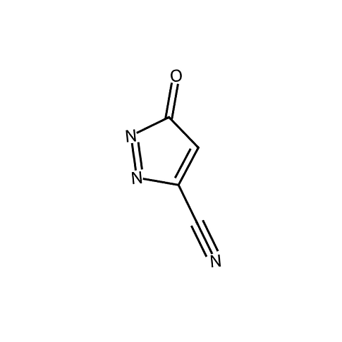 N#CC1=CC(=O)N=N1